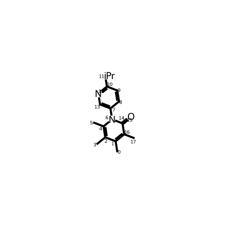 Cc1c(C)c(C)n(-c2ccc(C(C)C)nc2)c(=O)c1C